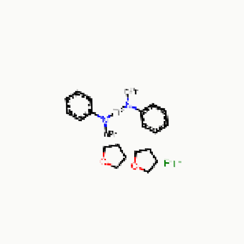 C1CCOC1.C1CCOC1.CCC[N]([Ti+2][N](CCC)c1ccccc1)c1ccccc1.[F-].[F-]